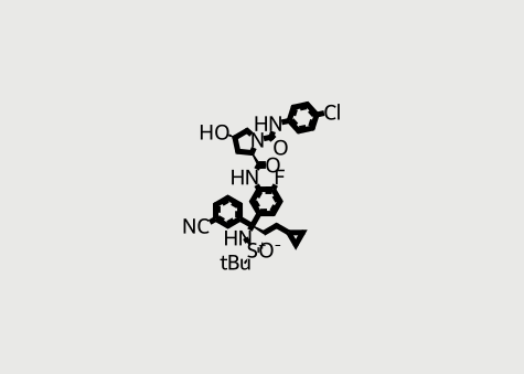 CC(C)(C)[S@@+]([O-])N[C@](CCC1CC1)(c1cccc(C#N)c1)c1ccc(F)c(NC(=O)[C@H]2C[C@H](O)CN2C(=O)Nc2ccc(Cl)cc2)c1